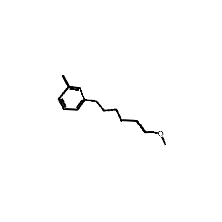 COCCCCCCc1cccc(C)c1